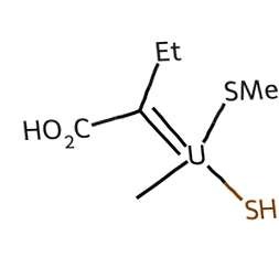 CC[C](C(=O)O)=[U]([CH3])([SH])[S]C